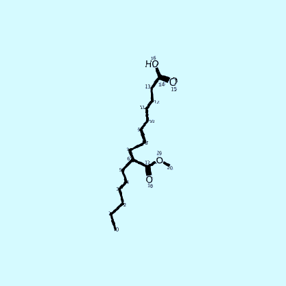 CCCCCCC(CCCCCCCC(=O)O)C(=O)OC